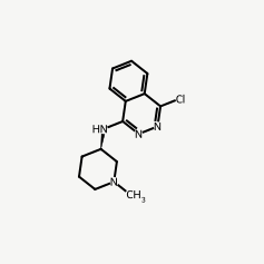 CN1CCC[C@@H](Nc2nnc(Cl)c3ccccc23)C1